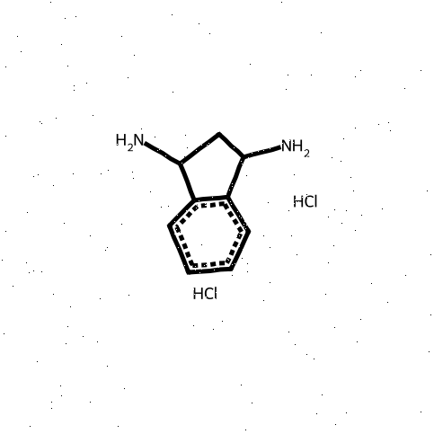 Cl.Cl.NC1CC(N)c2ccccc21